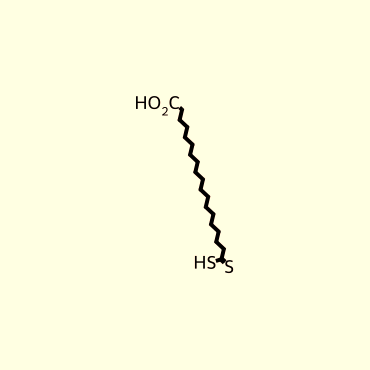 O=C(O)CCCCCCCCCCCCCCCCCC(=S)S